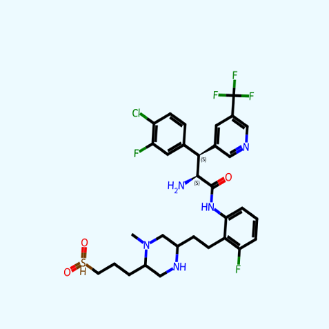 CN1CC(CCc2c(F)cccc2NC(=O)[C@@H](N)[C@H](c2cncc(C(F)(F)F)c2)c2ccc(Cl)c(F)c2)NCC1CCC[SH](=O)=O